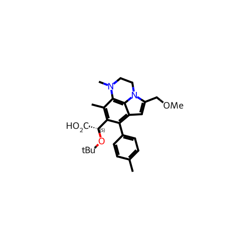 COCc1cc2c(-c3ccc(C)cc3)c([C@H](OC(C)(C)C)C(=O)O)c(C)c3c2n1CCN3C